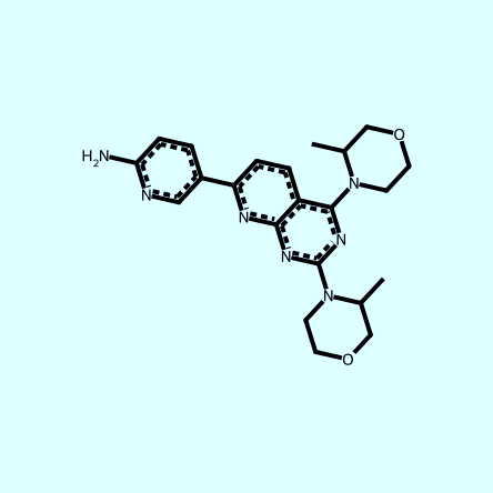 CC1COCCN1c1nc(N2CCOCC2C)c2ccc(-c3ccc(N)nc3)nc2n1